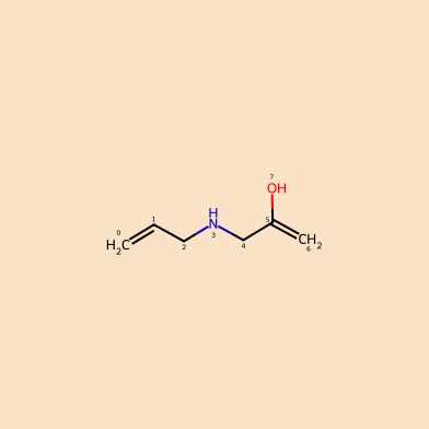 C=CCNCC(=C)O